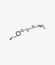 C#CCCc1ccc(OCCOCCOCCN)cc1